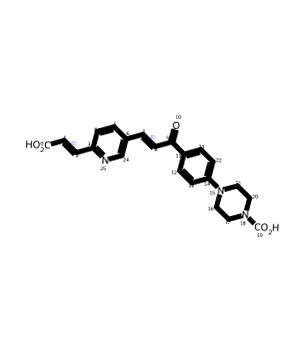 O=C(O)/C=C/c1ccc(/C=C/C(=O)c2ccc(N3CCN(C(=O)O)CC3)cc2)cn1